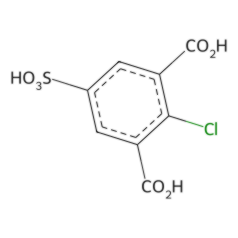 O=C(O)c1cc(S(=O)(=O)O)cc(C(=O)O)c1Cl